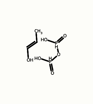 CC=CO.O=[PH](O)O[PH](=O)O